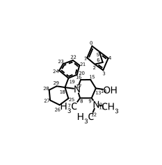 C1=CC2=CC=C1C2.CC1C(N(C)C)C(O)CCN1C1(c2ccccc2)CCCCC1